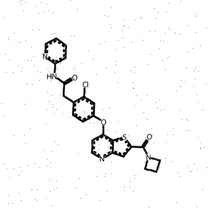 O=C(Cc1ccc(Oc2ccnc3cc(C(=O)N4CCC4)sc23)cc1Cl)Nc1ccccn1